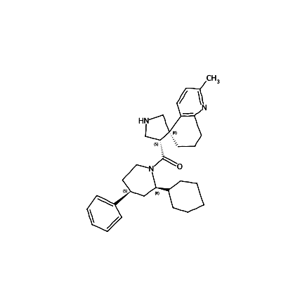 Cc1ccc2c(n1)CCC[C@]21CNC[C@H]1C(=O)N1CC[C@H](c2ccccc2)C[C@@H]1C1CCCCC1